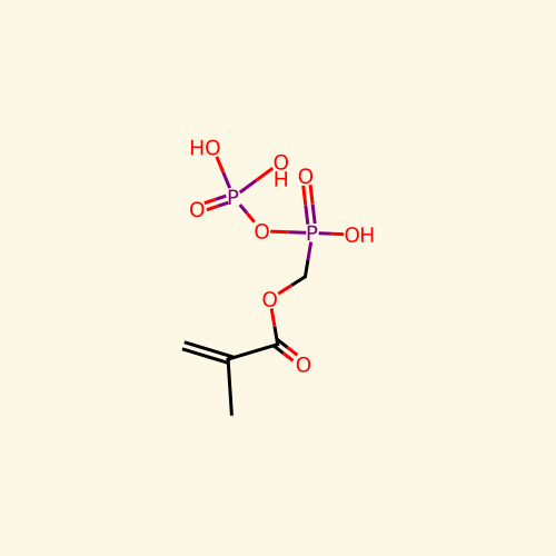 C=C(C)C(=O)OCP(=O)(O)OP(=O)(O)O